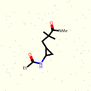 CCC(=O)NC1CC1CC(C)(C)C(=O)NC